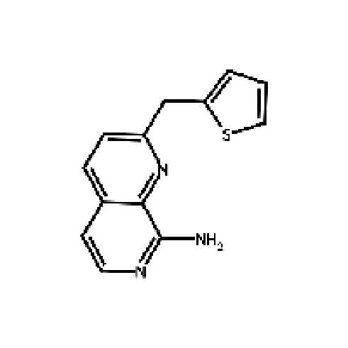 Nc1nccc2ccc(Cc3cccs3)nc12